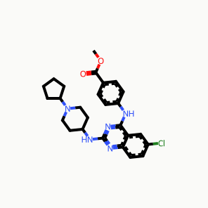 COC(=O)c1ccc(Nc2nc(NC3CCN(C4CCCC4)CC3)nc3ccc(Cl)cc23)cc1